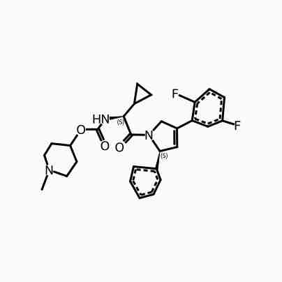 CN1CCC(OC(=O)N[C@H](C(=O)N2CC(c3cc(F)ccc3F)=C[C@H]2c2ccccc2)C2CC2)CC1